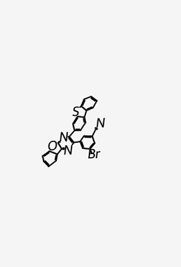 N#Cc1cc(Br)cc(-c2nc3c(nc2-c2ccc4c(c2)sc2ccccc24)oc2ccccc23)c1